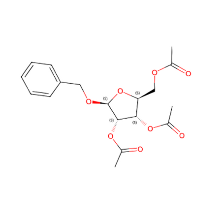 CC(=O)OC[C@@H]1O[C@H](OCc2ccccc2)[C@@H](OC(C)=O)[C@H]1OC(C)=O